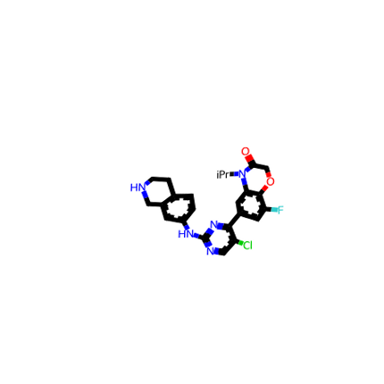 CC(C)N1C(=O)COc2c(F)cc(-c3nc(Nc4ccc5c(c4)CNCC5)ncc3Cl)cc21